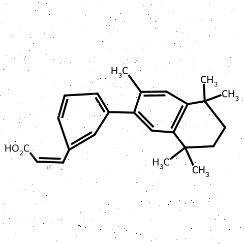 Cc1cc2c(cc1-c1cccc(/C=C\C(=O)O)c1)C(C)(C)CCC2(C)C